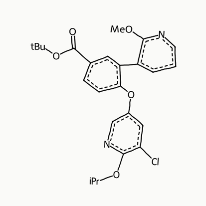 COc1ncccc1-c1cc(C(=O)OC(C)(C)C)ccc1Oc1cnc(OC(C)C)c(Cl)c1